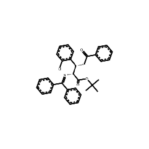 CC(C)(C)OC(=O)[C@H](N=C(c1ccccc1)c1ccccc1)[C@@H](CC(=O)c1ccccc1)c1ccccc1Cl